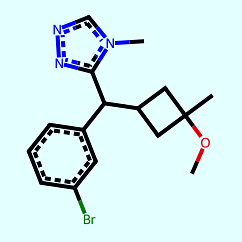 COC1(C)CC(C(c2cccc(Br)c2)c2nncn2C)C1